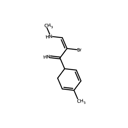 CN/C=C(/Br)C(=N)C1C=CC(C)=CC1